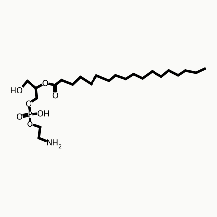 CCCCCCCCCCCCCCCCCC(=O)OC(CO)COP(=O)(O)OCCN